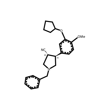 COc1ccc([C@H]2CN(Cc3ccccc3)C[C@@H]2C#N)cc1OC1CCCC1